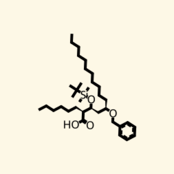 CCCCCCCCCCC[C@H](C[C@H](O[Si](C)(C)C(C)(C)C)[C@H](CCCCCC)C(=O)O)OCc1ccccc1